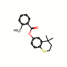 CC1(C)CCSc2ccc(OC(=O)c3ccccc3C(=O)O)cc21